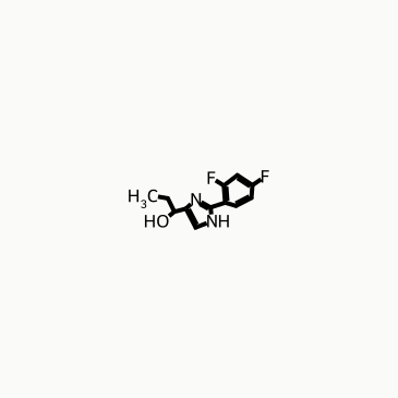 CCC(O)c1c[nH]c(-c2ccc(F)cc2F)n1